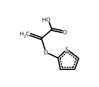 C=C(Oc1cccs1)C(=O)O